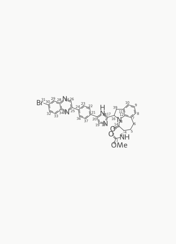 COC(=O)N[C@H]1CCc2cccc3c2N(C1=O)C(c1ncc(-c2ccc(-c4cnc5cc(Br)ccc5n4)cc2)[nH]1)C3